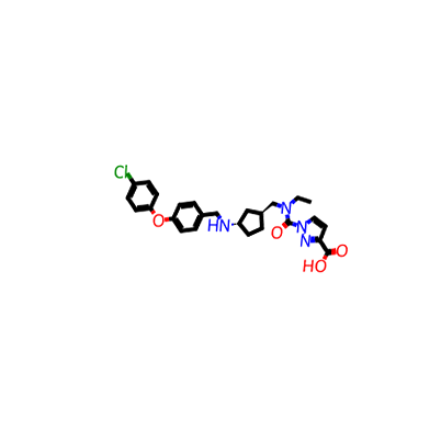 CCN(C[C@H]1CC[C@H](NCc2ccc(Oc3ccc(Cl)cc3)cc2)C1)C(=O)n1ccc(C(=O)O)n1